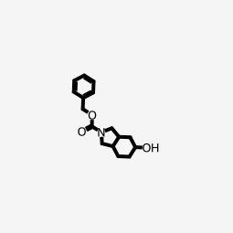 O=C(OCc1ccccc1)N1CC2CCC(O)CC2C1